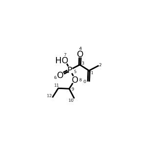 C=C(C)C(=O)P(=O)(O)OC(C)CC